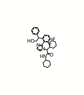 O=C(NC1CCCCC1)C(C1CCCCC1)n1ccnc1-c1c(C(CO)c2ccccc2)ccc(F)c1F